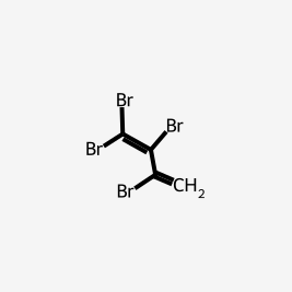 C=C(Br)C(Br)=C(Br)Br